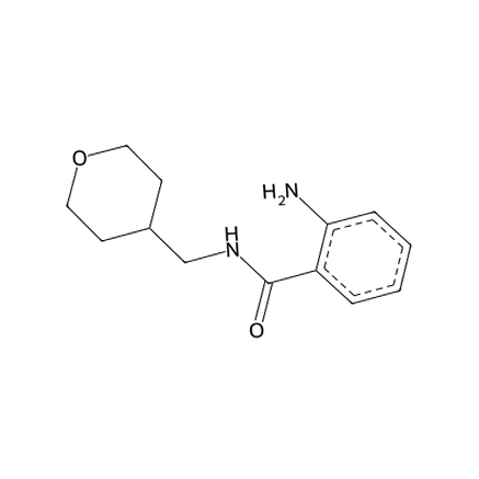 Nc1ccccc1C(=O)NCC1CCOCC1